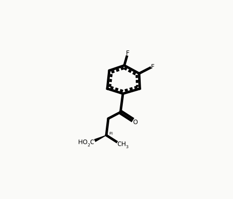 C[C@H](CC(=O)c1ccc(F)c(F)c1)C(=O)O